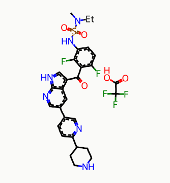 CCN(C)S(=O)(=O)Nc1ccc(F)c(C(=O)c2c[nH]c3ncc(-c4ccc(C5CCNCC5)nc4)cc23)c1F.O=C(O)C(F)(F)F